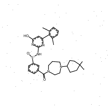 Cc1cccc(C)c1-c1cc(O)nc(N[S+]([O-])c2cccc(C(=O)N3CCCN(C4CCC(C)(C)CC4)CC3)c2)n1